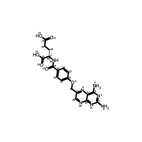 Nc1nc(N)c2nc(COc3ccc(C(=O)N[C@@H](CCC(=O)O)C(=O)O)cc3)cnc2n1